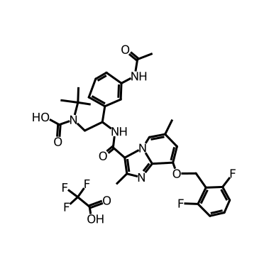 CC(=O)Nc1cccc(C(CN(C(=O)O)C(C)(C)C)NC(=O)c2c(C)nc3c(OCc4c(F)cccc4F)cc(C)cn23)c1.O=C(O)C(F)(F)F